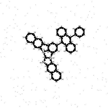 c1ccc(-c2c3ccccc3c(-c3cc4c5cc6ccccc6cc5n5c4c(c3)n3c4cc6ccccc6cc4nc35)c3ccccc23)cc1